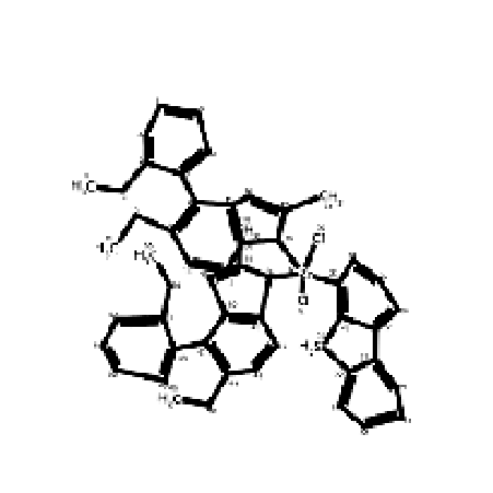 CCc1ccccc1-c1c(CC)ccc2c1C=C(C)[CH]2[Zr]([Cl])([Cl])([c]1cccc2c1[SiH2]c1ccccc1-2)[CH]1C(C)=Cc2c1ccc(CC)c2-c1ccccc1CC